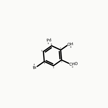 O=Cc1cc(Br)ccc1O.[Pd]